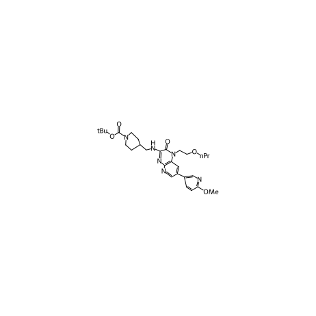 CCCOCCn1c(=O)c(NCC2CCN(C(=O)OC(C)(C)C)CC2)nc2ncc(-c3ccc(OC)nc3)cc21